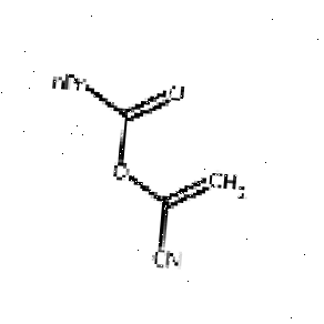 C=C(C#N)OC(=O)CCC